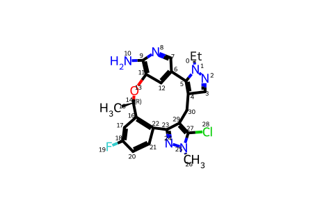 CCn1ncc2c1-c1cnc(N)c(c1)O[C@H](C)c1cc(F)ccc1-c1nn(C)c(Cl)c1C2